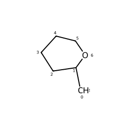 [CH]C1CCCCO1